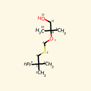 CCCC(C)(C)CSCOC(C)(C)CO